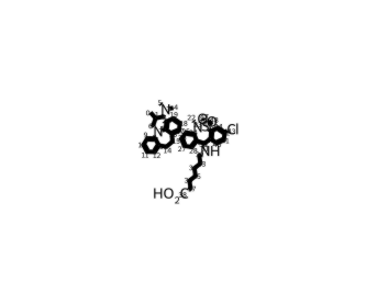 CC(CN(C)C)CN1c2ccccc2CCc2ccccc21.CN1c2ccccc2C(NCCCCCCC(=O)O)c2ccc(Cl)cc2S1(=O)=O